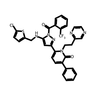 O=C(c1ccccc1C(F)(F)F)n1nc(-c2ccc(-c3ccccc3)c(=O)n2CCc2cnccn2)cc1NCc1ccc(Cl)s1